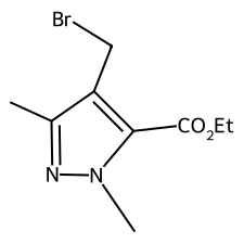 CCOC(=O)c1c(CBr)c(C)nn1C